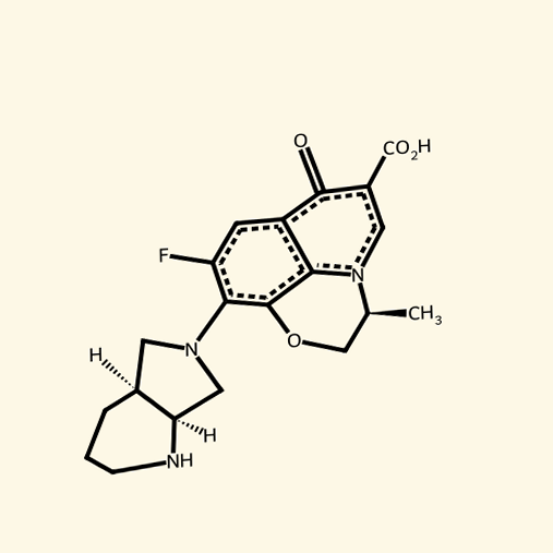 C[C@H]1COc2c(N3C[C@@H]4CCCN[C@@H]4C3)c(F)cc3c(=O)c(C(=O)O)cn1c23